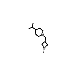 CC(C)C1CCN(CC2CN(I)C2)CC1